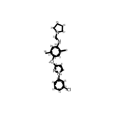 Cc1cc(Oc2ccn(-c3cccc(Cl)c3)n2)c(C)cc1/N=C/N1CCCC1